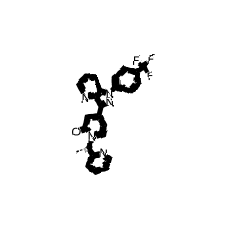 C[C@@H](c1ccccn1)n1ccc(-c2nn(-c3ccc(C(F)(F)F)cc3)c3cccnc23)cc1=O